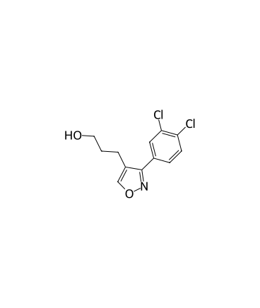 OCCCc1conc1-c1ccc(Cl)c(Cl)c1